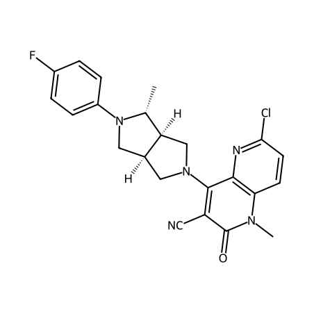 C[C@@H]1[C@H]2CN(c3c(C#N)c(=O)n(C)c4ccc(Cl)nc34)C[C@H]2CN1c1ccc(F)cc1